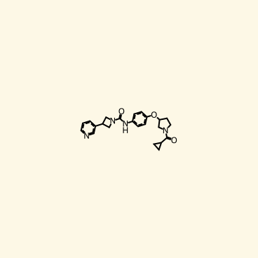 O=C(Nc1ccc(OC2CCN(C(=O)C3CC3)C2)cc1)N1CC(c2cccnc2)C1